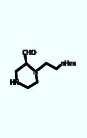 CCCCCCCCN1CCNC[C@H]1[C]=O